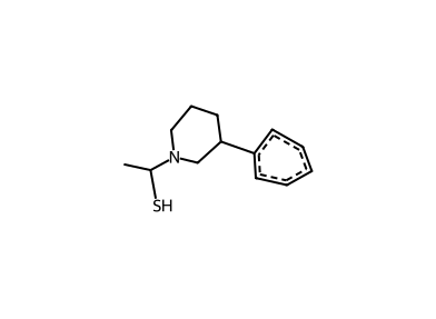 CC(S)N1CCCC(c2ccccc2)C1